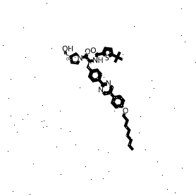 CCCCCCCCOc1ccc(-c2cnc(-c3ccc(C[C@H](NC(=O)c4ccc(C(C)(C)C)s4)C(=O)N4CC[C@H](CO)C4)cc3)nc2)cc1